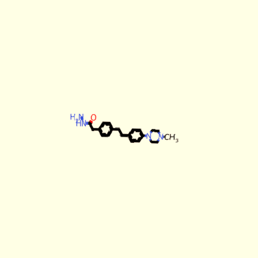 CN1CCN(c2ccc(CCc3ccc(CC(=O)NN)cc3)cc2)CC1